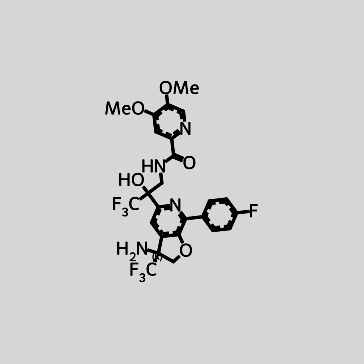 COc1cnc(C(=O)NCC(O)(c2cc3c(c(-c4ccc(F)cc4)n2)OC[C@@]3(N)C(F)(F)F)C(F)(F)F)cc1OC